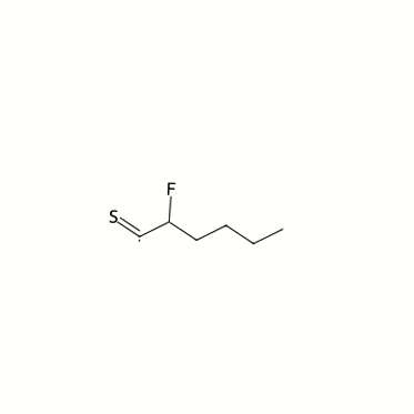 CCCCC(F)[C]=S